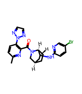 Cc1ccc(-n2nccn2)c(C(=O)N2C[C@@H]3CC[C@H]2[C@H](Nc2ccc(Br)cn2)C3)n1